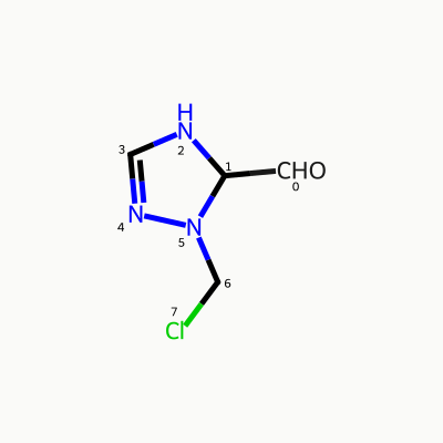 O=CC1NC=NN1CCl